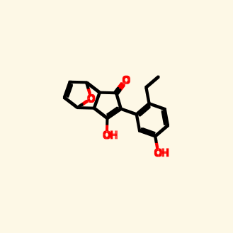 CCc1ccc(O)cc1C1=C(O)C2C3C=CC(O3)C2C1=O